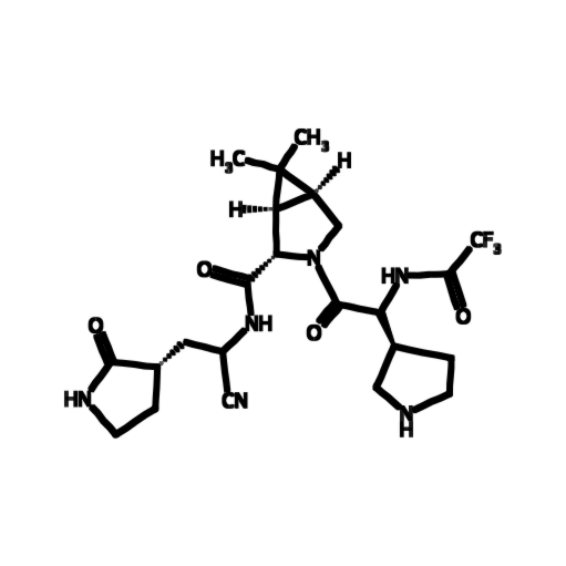 CC1(C)[C@@H]2[C@@H](C(=O)NC(C#N)C[C@@H]3CCNC3=O)N(C(=O)C(NC(=O)C(F)(F)F)[C@H]3CCNC3)C[C@@H]21